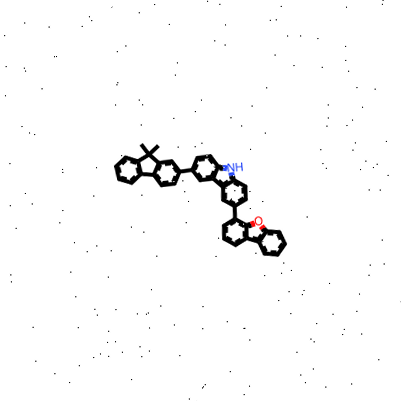 CC1(C)c2ccccc2-c2ccc(-c3ccc4[nH]c5ccc(-c6cccc7c6oc6ccccc67)cc5c4c3)cc21